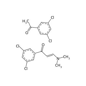 CC(=O)c1cc(Cl)cc(Cl)c1.CN(C)C=CC(=O)c1cc(Cl)cc(Cl)c1